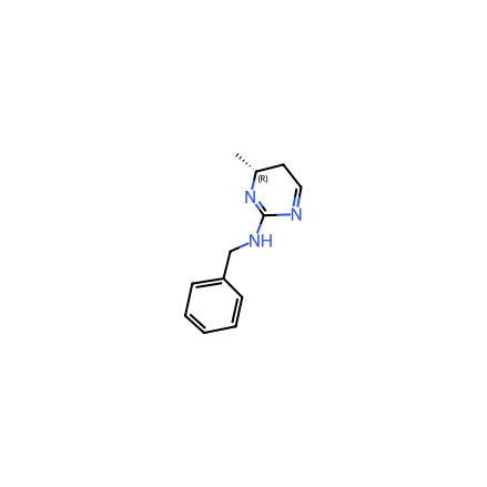 C[C@@H]1CC=NC(NCc2ccccc2)=N1